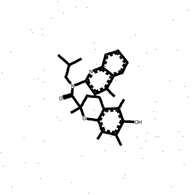 Cc1c(C)c2c(c(C)c1O)CCC(C)(C(=O)N(CC(C)C)c1cc(C)c3ccccc3n1)O2